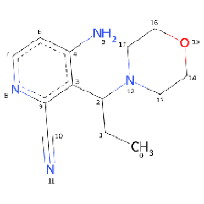 CCC(c1c(N)ccnc1C#N)N1CCOCC1